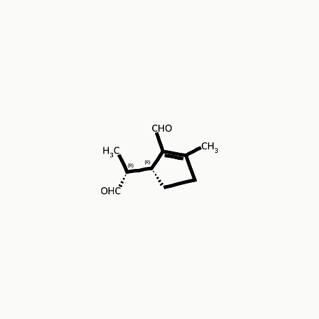 CC1=C(C=O)[C@@H]([C@@H](C)C=O)CC1